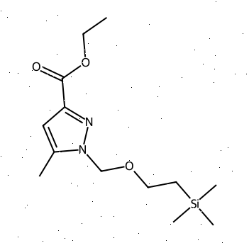 CCOC(=O)c1cc(C)n(COCC[Si](C)(C)C)n1